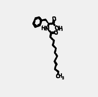 CCCCCCCCCCCC(=O)N[C@@H](Cc1ccccc1)C(=O)O